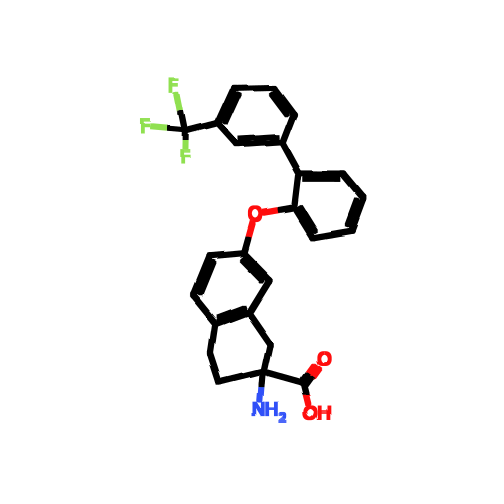 NC1(C(=O)O)CCc2ccc(Oc3ccccc3-c3cccc(C(F)(F)F)c3)cc2C1